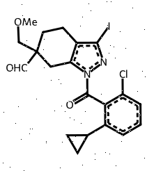 COCC1(C=O)CCc2c(I)nn(C(=O)c3c(Cl)cccc3C3CC3)c2C1